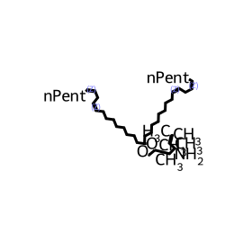 CCCCC/C=C\C/C=C\CCCCCCCCC1(CCCCCCCC/C=C\C/C=C\CCCCC)OCC(C(C)(C)CC(C)(N)C=C(C)C)O1